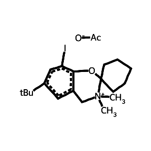 CC(=O)[O-].CC(C)(C)c1cc(I)c2c(c1)C[N+](C)(C)C1(CCCCC1)O2